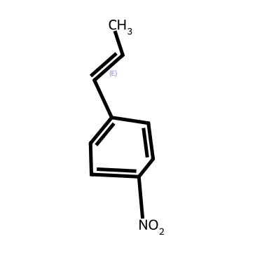 C/C=C/c1ccc([N+](=O)[O-])cc1